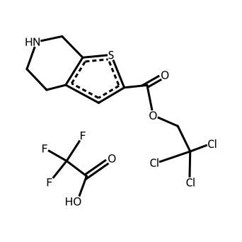 O=C(O)C(F)(F)F.O=C(OCC(Cl)(Cl)Cl)c1cc2c(s1)CNCC2